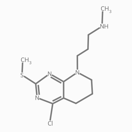 CNCCCN1CCCc2c(Cl)nc(SC)nc21